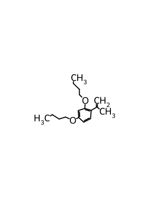 C=C(C)c1ccc(OCCCC)cc1OCCCC